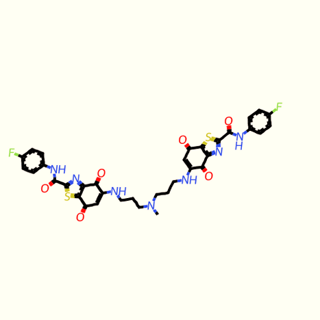 CN(CCCNC1=CC(=O)c2sc(C(=O)Nc3ccc(F)cc3)nc2C1=O)CCCNC1=CC(=O)c2sc(C(=O)Nc3ccc(F)cc3)nc2C1=O